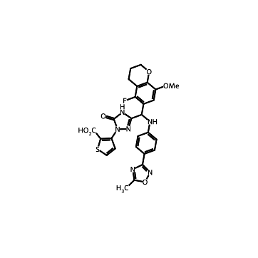 COc1cc(C(Nc2ccc(-c3noc(C)n3)cc2)c2nn(-c3ccsc3C(=O)O)c(=O)[nH]2)c(F)c2c1OCCC2